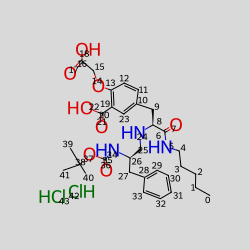 CCCCCNC(=O)[C@H](Cc1ccc(OCC(=O)O)c(C(=O)O)c1)NC[C@@H](Cc1ccccc1)NC(=O)OC(C)(C)C.Cl.Cl